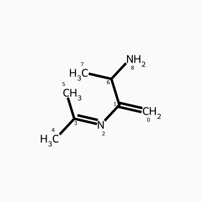 C=C(N=C(C)C)C(C)N